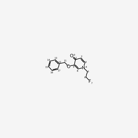 O=c1ccn(CCF)cc1OCc1ccccc1